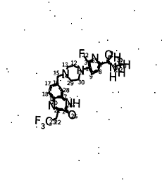 [2H]C([2H])([2H])NC(=O)c1ccc(N2CCN(Cc3ccc4nc(CC(F)(F)F)c(=O)[nH]c4c3)CC2)c(F)n1